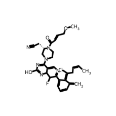 C=c1cccc(C2=NC=C3C(N4CCN(C(=O)/C=C/COC)[C@@H](CC#N)C4)=NC(O)=NC3C2F)/c1=C(\Cl)C/C=C\C